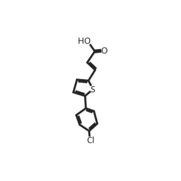 O=C(O)/C=C/c1ccc(-c2ccc(Cl)cc2)s1